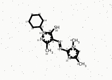 Cc1cn(C)c(N=Nc2c(C)nn(C3CCCCC3)c2S)n1